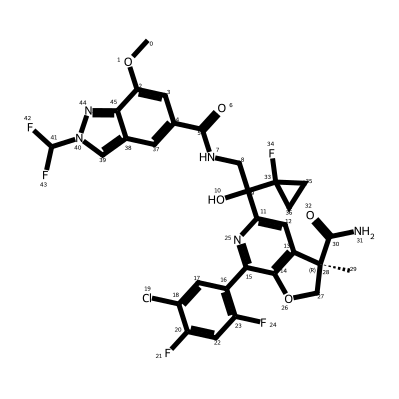 COc1cc(C(=O)NCC(O)(c2cc3c(c(-c4cc(Cl)c(F)cc4F)n2)OC[C@]3(C)C(N)=O)C2(F)CC2)cc2cn(C(F)F)nc12